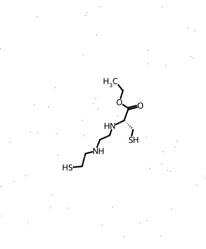 CCOC(=O)[C@H](CS)NCCNCCS